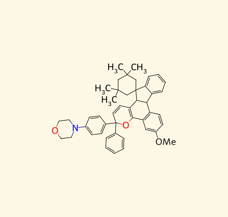 COc1ccc2c(c1)C1=C(C=CC(c3ccccc3)(c3ccc(N4CCOCC4)cc3)O1)C1C2c2ccccc2C12CC(C)(C)CC(C)(C)C2